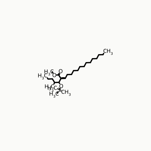 CCCCCCCCCCCCC/C=C(\C(=O)OC)C(O[Si](C)(C)C)C(C)CCC